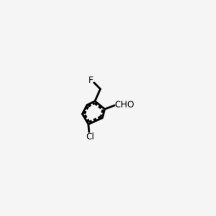 O=Cc1cc(Cl)ccc1CF